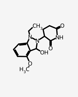 CCN1c2cccc(OC)c2C(O)N1C1CCC(=O)NC1=O